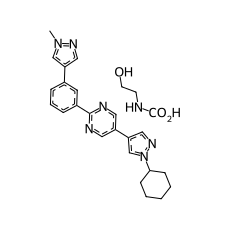 Cn1cc(-c2cccc(-c3ncc(-c4cnn(C5CCCCC5)c4)cn3)c2)cn1.O=C(O)NCCO